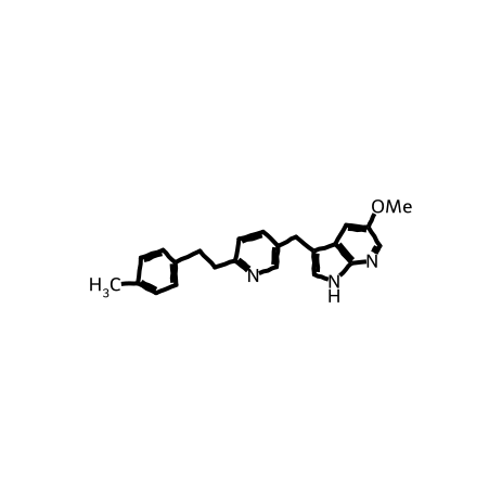 COc1cnc2[nH]cc(Cc3ccc(CCc4ccc(C)cc4)nc3)c2c1